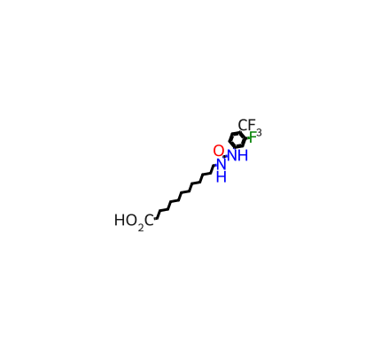 O=C(O)CCCCCCCCCCCCNC(=O)Nc1ccc(C(F)(F)F)c(F)c1